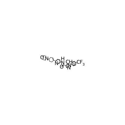 Cc1c(C(=O)Nc2ccc(C3=CCC(N4CCOCC4)CC3)nc2)cnn1-c1ccc(C(F)(F)F)cc1